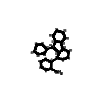 Nc1ccccc1-c1cccc2c3ccccc3n(-c3ccccc3)c12